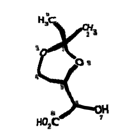 CC1(C)OCC(C(O)C(=O)O)O1